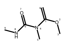 C=C(OC)N(C)C(=O)NC